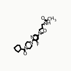 CC(=O)NCC1CN(c2cnc(N3CCN(C(=O)C4CCCCC4)CC3)c(F)c2)CO1